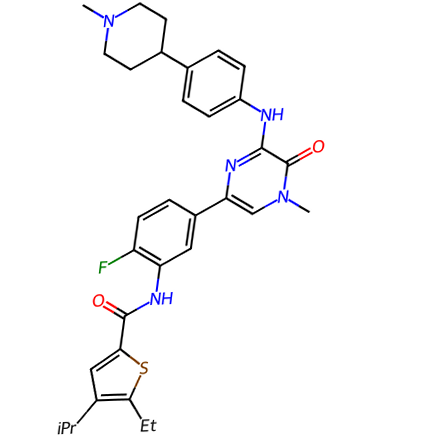 CCc1sc(C(=O)Nc2cc(-c3cn(C)c(=O)c(Nc4ccc(C5CCN(C)CC5)cc4)n3)ccc2F)cc1C(C)C